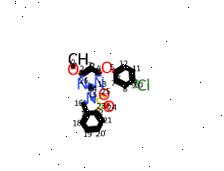 COc1cc(Oc2ccc(Cl)cc2)nc(N2Cc3ccccc3S2(=O)=O)n1